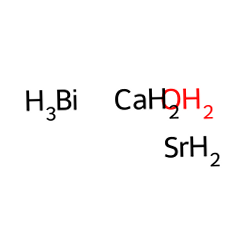 O.[BiH3].[CaH2].[SrH2]